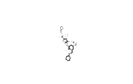 Cc1cc(C(=O)NCC2CCC2)nn1Cc1cc(S(C)(=O)=O)cc2cc(-c3ccccc3)oc12